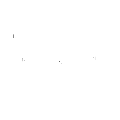 Cn1cnc(S(=O)(=O)N2CC(Nc3cccc(C(F)(F)F)c3)C(C3CCCOC3)C2)c1